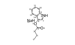 CCCC(=O)Oc1c[nH]c2ccccc12.[NaH]